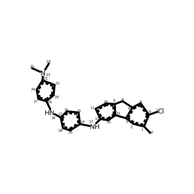 Cc1cc2c(cc1Cl)Cc1ccc(Nc3ccc(Nc4ccc(N(C)C)cc4)cc3)cc1-2